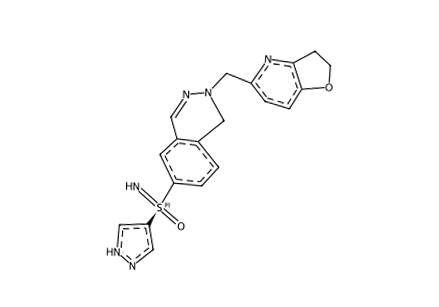 N=[S@](=O)(c1cn[nH]c1)c1ccc2c(c1)C=NN(Cc1ccc3c(n1)CCO3)C2